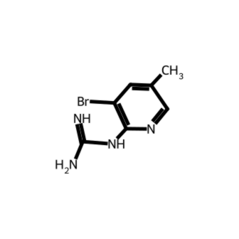 Cc1cnc(NC(=N)N)c(Br)c1